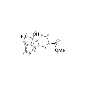 COC(=O)[C@H]1CC[C@H](C(O)(c2nccs2)C(F)(F)F)CC1